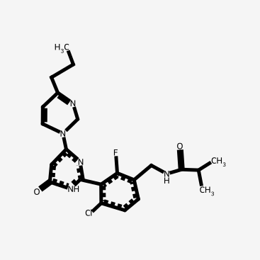 CCCC1=NCN(c2cc(=O)[nH]c(-c3c(Cl)ccc(CNC(=O)C(C)C)c3F)n2)C=C1